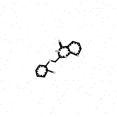 O=c1[nH]c(COc2ccccc2Cl)nc2ncccc12